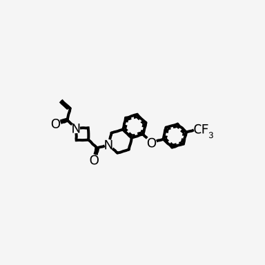 C=CC(=O)N1CC(C(=O)N2CCc3c(cccc3Oc3ccc(C(F)(F)F)cc3)C2)C1